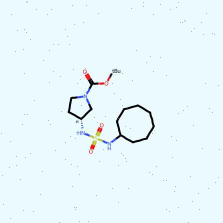 CC(C)(C)OC(=O)N1CC[C@@H](NS(=O)(=O)NC2CCCCCCC2)C1